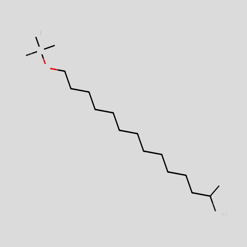 CCCCC(C)CCCCCCCCCCCCO[Si](C)(C)C(C)(C)C